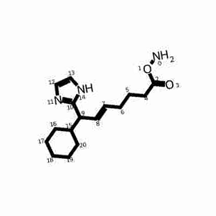 NOC(=O)CCCC=CC(c1ncc[nH]1)C1CCCCC1